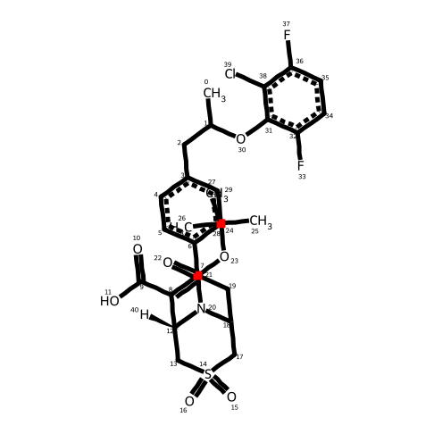 CC(Cc1ccc(C2=C(C(=O)O)[C@H]3CS(=O)(=O)CC(C2)N3C(=O)OC(C)(C)C)cc1)Oc1c(F)ccc(F)c1Cl